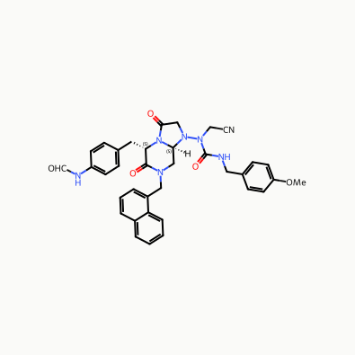 COc1ccc(CNC(=O)N(CC#N)N2CC(=O)N3[C@@H](Cc4ccc(NC=O)cc4)C(=O)N(Cc4cccc5ccccc45)C[C@@H]32)cc1